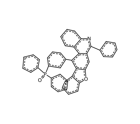 O=P(c1ccccc1)(c1ccccc1)c1cccc(-c2c3c(cc4c(-c5ccccc5)nc5ccccc5c24)oc2ccccc23)c1